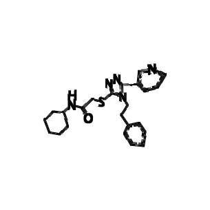 O=C(CSc1nnc(-c2cccnc2)n1CCc1ccccc1)NC1CCCCC1